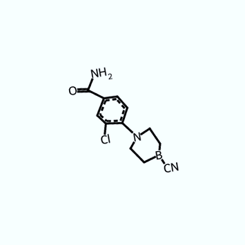 N#CB1CCN(c2ccc(C(N)=O)cc2Cl)CC1